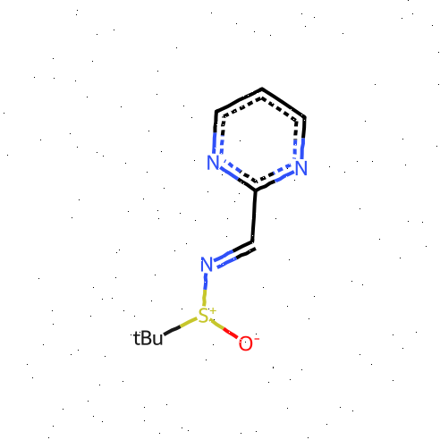 CC(C)(C)[S+]([O-])N=Cc1ncccn1